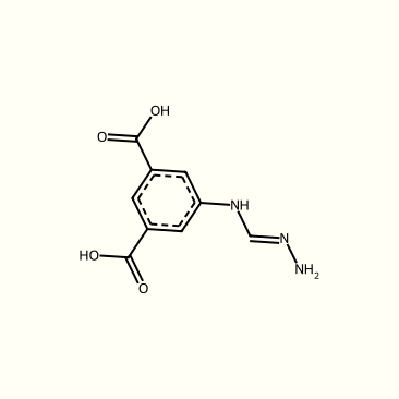 NN=CNc1cc(C(=O)O)cc(C(=O)O)c1